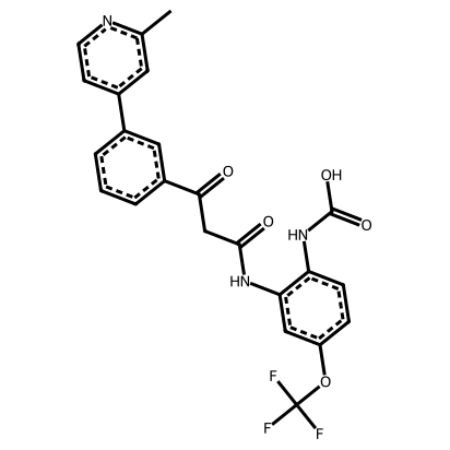 Cc1cc(-c2cccc(C(=O)CC(=O)Nc3cc(OC(F)(F)F)ccc3NC(=O)O)c2)ccn1